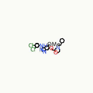 COc1cc2c(Nc3ccc(Cl)c(Cl)c3)ncnc2cc1OCC1CN(CCC2CCCCC2)CCCO1